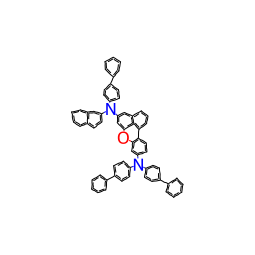 c1ccc(-c2ccc(N(c3ccc(-c4ccccc4)cc3)c3ccc4c(c3)Oc3cc(N(c5ccc(-c6ccccc6)cc5)c5ccc6ccccc6c5)cc5cccc-4c35)cc2)cc1